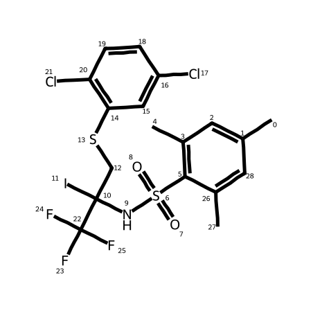 Cc1cc(C)c(S(=O)(=O)NC(I)(CSc2cc(Cl)ccc2Cl)C(F)(F)F)c(C)c1